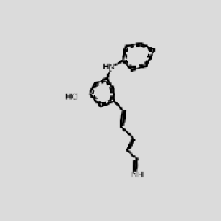 Cl.N=CC=CC=Cc1cccc(Nc2ccccc2)c1